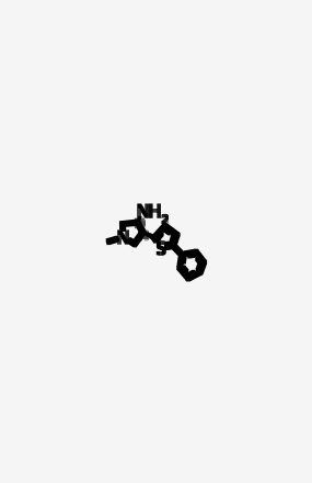 CN1C[C@H](c2ccc(-c3ccccc3)s2)[C@@H](N)C1